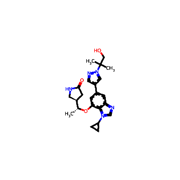 C[C@@H](Oc1cc(-c2cnn(C(C)(C)CO)c2)cc2ncn(C3CC3)c12)[C@H]1CNC(=O)C1